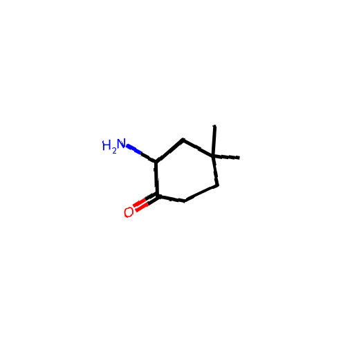 CC1(C)CCC(=O)C(N)C1